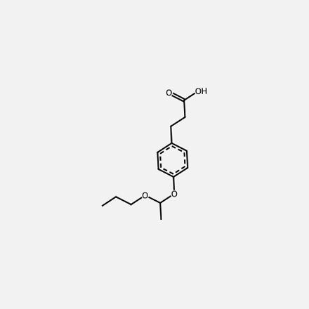 CCCOC(C)Oc1ccc(CCC(=O)O)cc1